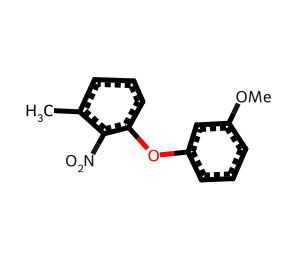 COc1cccc(Oc2cccc(C)c2[N+](=O)[O-])c1